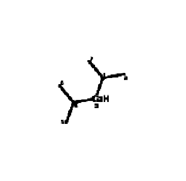 C[CH](C)[GaH][CH](C)C